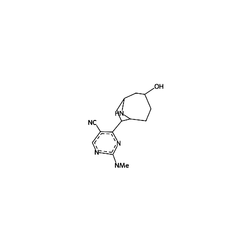 CNc1ncc(C#N)c(C2CC3CC(O)CCC2N3)n1